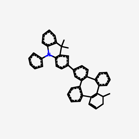 CC1CC=CC2=C1c1ccccc1-c1ccc(-c3ccc4c(c3)C(C)(C)c3ccccc3N4c3ccccc3)cc1-c1ccccc12